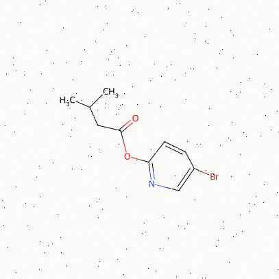 CC(C)CC(=O)Oc1ccc(Br)cn1